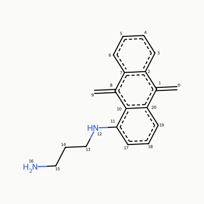 C=c1c2ccccc2c(=C)c2c(NCCCN)cccc12